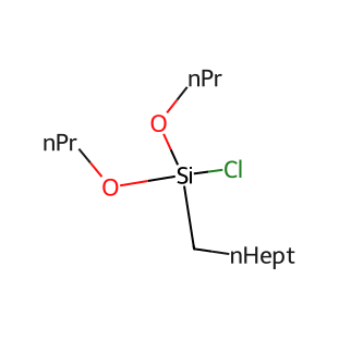 CCCCCCCC[Si](Cl)(OCCC)OCCC